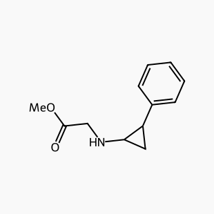 COC(=O)CNC1CC1c1ccccc1